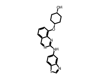 O[C@H]1CC[C@@H](Oc2cccc3cnc(Nc4ccc5scnc5c4)nc23)CC1